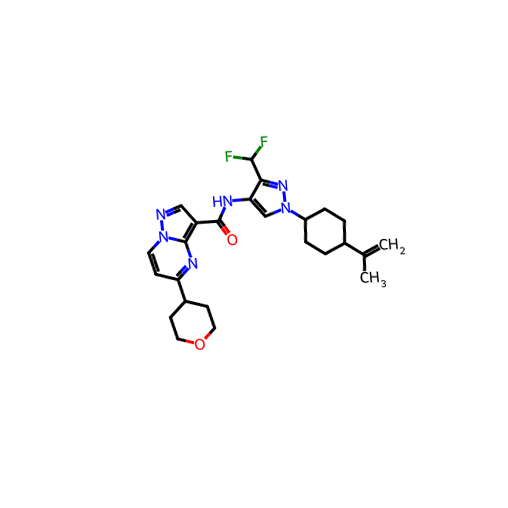 C=C(C)C1CCC(n2cc(NC(=O)c3cnn4ccc(C5CCOCC5)nc34)c(C(F)F)n2)CC1